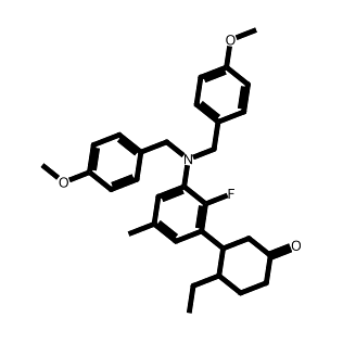 CCC1CCC(=O)CC1c1cc(C)cc(N(Cc2ccc(OC)cc2)Cc2ccc(OC)cc2)c1F